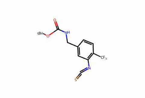 CC(C)(C)OC(=O)NCc1ccc(C(F)(F)F)c(N=C=S)c1